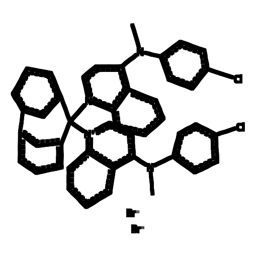 CN(c1ccc(Cl)cc1)c1cc[n+](C2([n+]3ccc(N(C)c4ccc(Cl)cc4)c4ccccc43)c3cccc(c3)-c3cccc2c3)c2ccccc12.[Br-].[Br-]